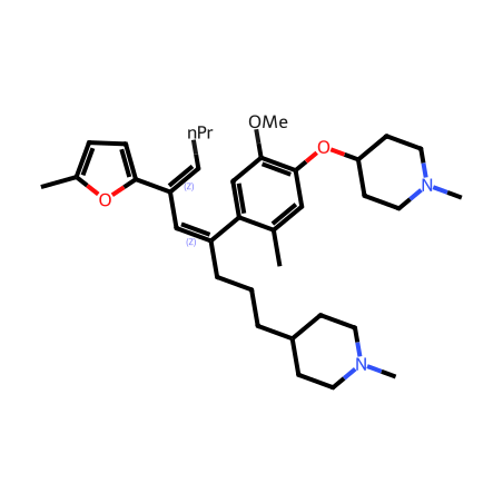 CCC/C=C(/C=C(/CCCC1CCN(C)CC1)c1cc(OC)c(OC2CCN(C)CC2)cc1C)c1ccc(C)o1